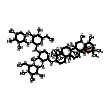 CC1(C)C[C@@H]2[C@@]3([C@H](O)C[C@]4(C)[C@@]2(CC[C@@H]2[C@@]5(C)CC[C@H](O[C@@H]6OC[C@H](O[C@@H]7O[C@H](CO)[C@@H](O)[C@H](O)[C@H]7O[C@@H]7OC[C@@H](O)[C@H](O)[C@H]7O)[C@H](O)[C@H]6O[C@@H]6O[C@H](CO)[C@@H](O)[C@H](O)[C@H]6O)C(C)(C)[C@@H]5CC[C@]24C)O[C@@H]3O)[C@@H](O)C1